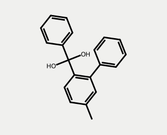 Cc1ccc(C(O)(O)c2ccccc2)c(-c2ccccc2)c1